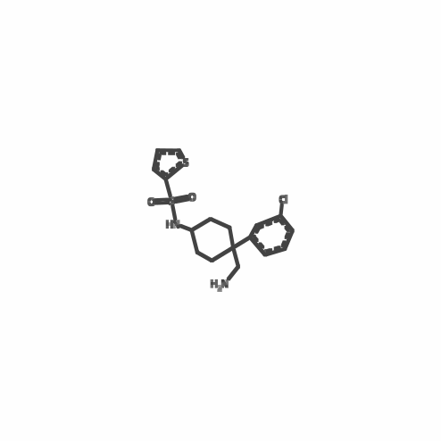 NCC1(c2cccc(Cl)c2)CCC(NS(=O)(=O)c2cccs2)CC1